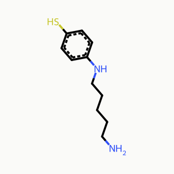 NCCCCCNc1ccc(S)cc1